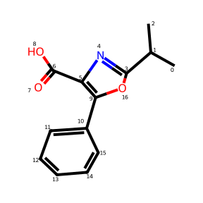 CC(C)c1nc(C(=O)O)c(-c2ccccc2)o1